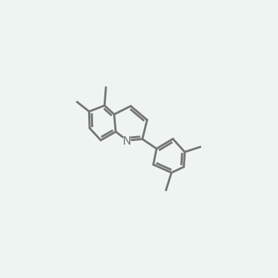 Cc1cc(C)cc(-c2ccc3c(C)c(C)ccc3n2)c1